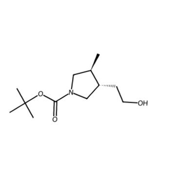 C[C@@H]1CN(C(=O)OC(C)(C)C)C[C@H]1CCO